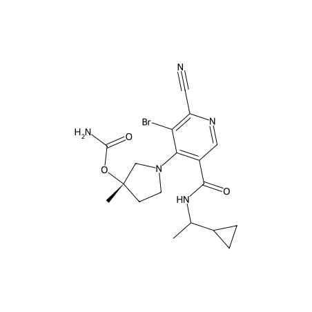 CC(NC(=O)c1cnc(C#N)c(Br)c1N1CC[C@](C)(OC(N)=O)C1)C1CC1